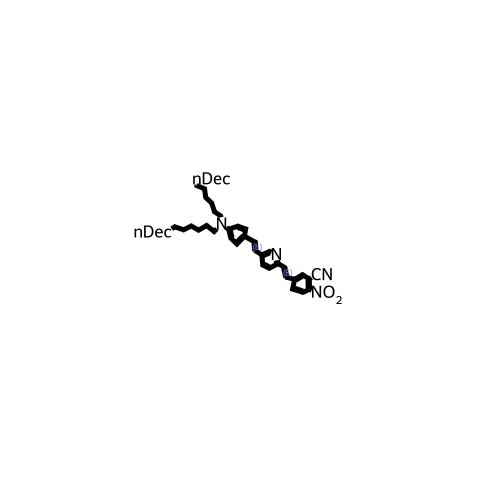 CCCCCCCCCCCCCCCCN(CCCCCCCCCCCCCCCC)c1ccc(/C=C/c2ccc(/C=C/c3ccc([N+](=O)[O-])c(C#N)c3)nc2)cc1